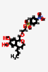 CCCC1CCOC(COCCOS(=O)(=O)c2ccc([N+](=O)[O-])cc2)c2cc(O)c(O)cc21